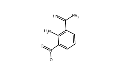 N=C(N)c1cccc([N+](=O)[O-])c1N